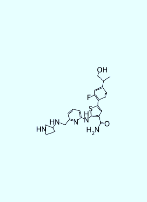 CC(CO)c1ccc(-c2cc(C(N)=O)c(Nc3cccc(CNC4CCNC4)n3)s2)c(F)c1